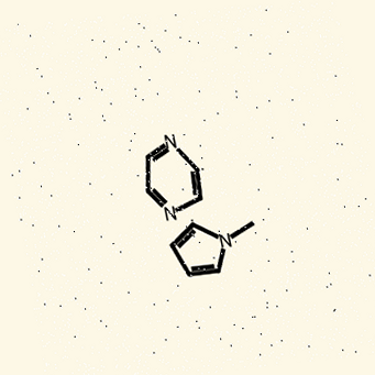 Cn1[c]ccc1.[c]1cnccn1